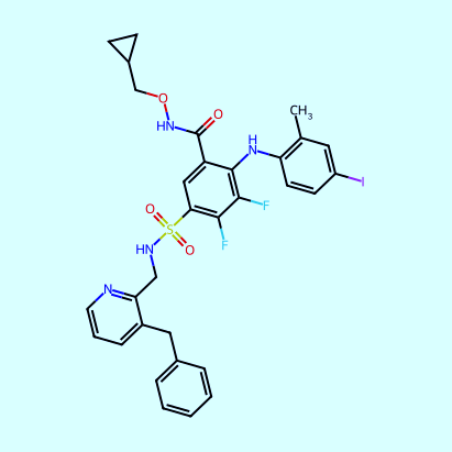 Cc1cc(I)ccc1Nc1c(C(=O)NOCC2CC2)cc(S(=O)(=O)NCc2ncccc2Cc2ccccc2)c(F)c1F